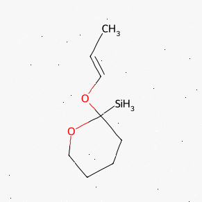 CC=COC1([SiH3])CCCCO1